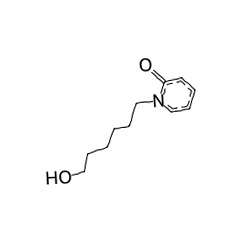 O=c1ccccn1CCCCCCO